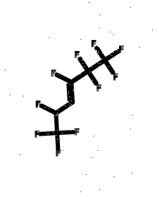 F/C(=C\C(F)C(F)(F)F)C(F)(F)C(F)(F)F